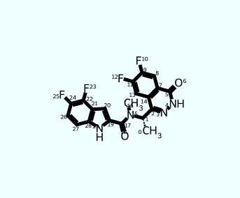 C[C@@H](c1n[nH]c(=O)c2cc(F)c(F)cc12)N(C)C(=O)c1cc2c(F)c(F)ccc2[nH]1